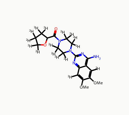 [2H]c1c(OC)c(OC)c([2H])c2c(N)nc(N3C([2H])([2H])C([2H])([2H])N(C(=O)C4OC([2H])([2H])C([2H])([2H])C4([2H])[2H])C([2H])([2H])C3([2H])[2H])nc12